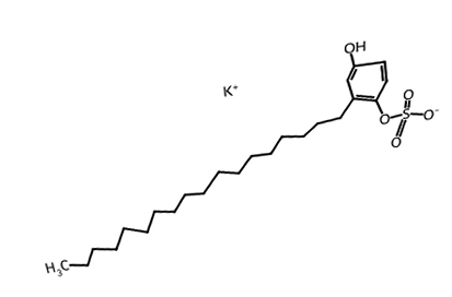 CCCCCCCCCCCCCCCCCCc1cc(O)ccc1OS(=O)(=O)[O-].[K+]